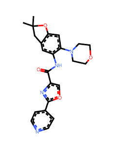 CC1(C)Cc2cc(NC(=O)c3coc(-c4ccncc4)n3)c(N3CCOCC3)cc2O1